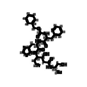 CCC(C)[C@@H](CO)NC(=O)CC(O)C(CC(C)C)NC(=O)[C@H](Cc1cscn1)NC(=O)[C@H](Cc1ccccn1)NC(=O)OCc1ccccc1